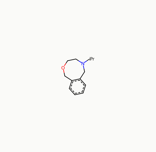 CC(C)N1CCOCc2ccccc2C1